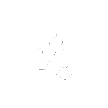 O=c1c2c(nc3c(Cl)cc(Cl)cn13)/C(=C\c1cccc(Cl)c1)CC2